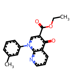 CCOC(=O)c1cn(-c2cccc(C)c2)c2ncccc2c1=O